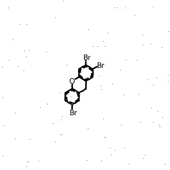 Brc1ccc2c(c1)Cc1cc(Br)c(Br)cc1O2